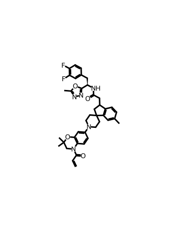 C=CC(=O)N1CC(C)(C)Oc2cc(N3CCC4(CC3)CC(CC(=O)N[C@H](Cc3ccc(F)c(F)c3)c3nnc(C)o3)c3ccc(C)cc34)ccc21